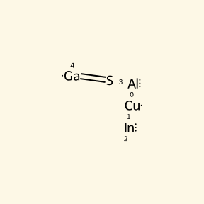 [Al].[Cu].[In].[S]=[Ga]